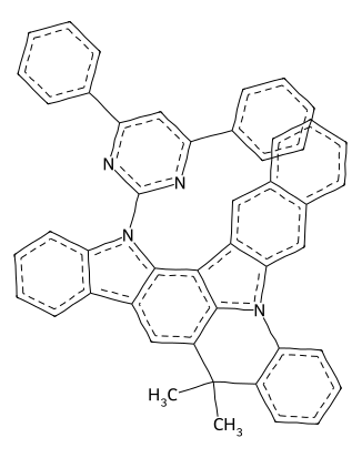 CC1(C)c2ccccc2-n2c3cc4ccccc4cc3c3c2c1cc1c2ccccc2n(-c2nc(-c4ccccc4)cc(-c4ccccc4)n2)c13